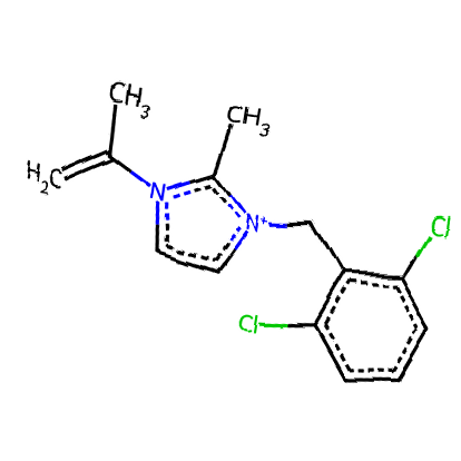 C=C(C)n1cc[n+](Cc2c(Cl)cccc2Cl)c1C